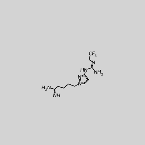 N=C(N)CCCCn1ccc(N/C(N)=N\CC(F)(F)F)n1